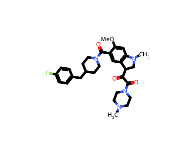 COc1cc2c(cc1C(=O)N1CCC(Cc3ccc(F)cc3)CC1)C(C(=O)C(=O)N1CCN(C)CC1)CN2C